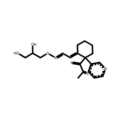 CC(=S)C(=S)C1(c2cccnc2)CCCCC1=CC=NOCC(O)CO